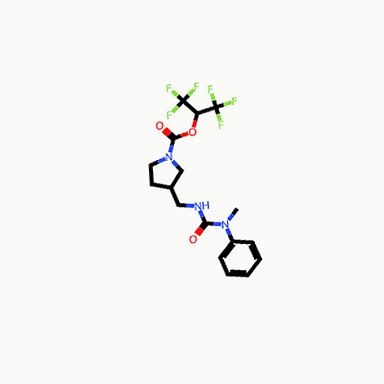 CN(C(=O)NCC1CCN(C(=O)OC(C(F)(F)F)C(F)(F)F)C1)c1ccccc1